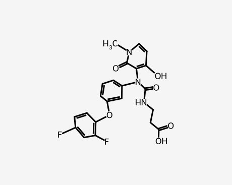 Cn1ccc(O)c(N(C(=O)NCCC(=O)O)c2cccc(Oc3ccc(F)cc3F)c2)c1=O